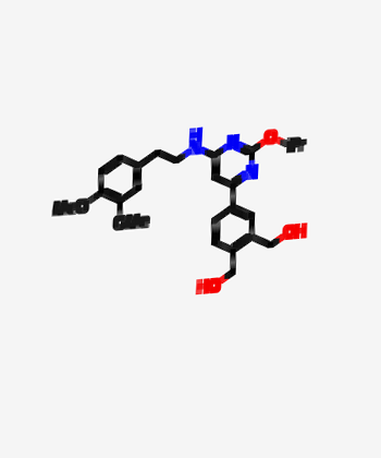 COc1ccc(CCNc2cc(-c3ccc(CO)c(CO)c3)nc(OC(C)C)n2)cc1OC